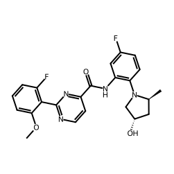 COc1cccc(F)c1-c1nccc(C(=O)Nc2cc(F)ccc2N2C[C@@H](O)C[C@@H]2C)n1